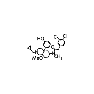 COC12CCC(N(C)C(=O)Cc3ccc(Cl)c(Cl)c3)CC1(c1cccc(O)c1)CCN(CC1CC1)C2